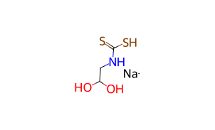 OC(O)CNC(=S)S.[Na]